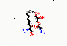 CCCCCCCCCCCCC/C=C/C(O)C(N)CO.NCC(=O)OCC(O)CO